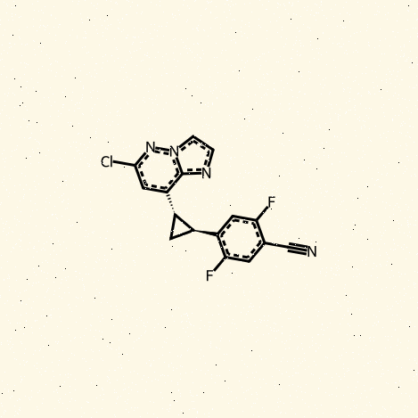 N#Cc1cc(F)c([C@H]2C[C@@H]2c2cc(Cl)nn3ccnc23)cc1F